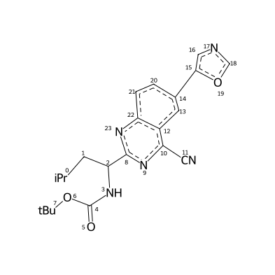 CC(C)CC(NC(=O)OC(C)(C)C)c1nc(C#N)c2cc(-c3cnco3)ccc2n1